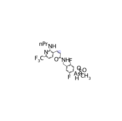 CCCNc1nc(C(F)(F)F)ccc1/C=C\C(=O)NCc1cc(F)c([AsH]S(C)(=O)=O)cc1F